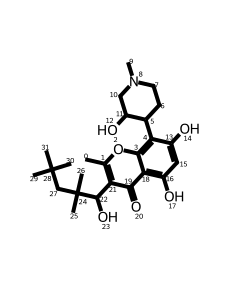 Cc1oc2c(C3CCN(C)CC3O)c(O)cc(O)c2c(=O)c1C(O)C(C)(C)CC(C)(C)C